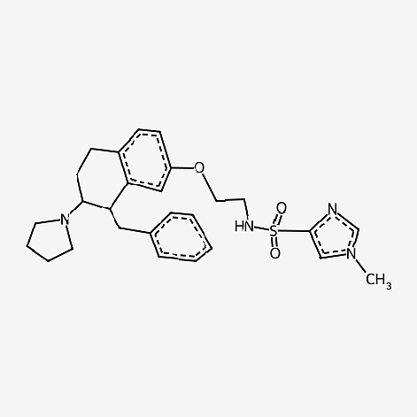 Cn1cnc(S(=O)(=O)NCCOc2ccc3c(c2)C(Cc2ccccc2)C(N2CCCC2)CC3)c1